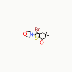 CC1(C)CC(=O)c2sc(N3CCOCC3)c(Br)c2C1